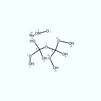 O=N[O-].OOC(O)(O)OC(O)(OO)OO.[Na+]